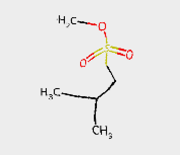 [CH2]OS(=O)(=O)CC(C)C